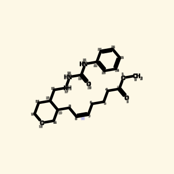 COC(=O)CCC/C=C\CC1COCCC1CNNC(=O)Nc1ccccc1